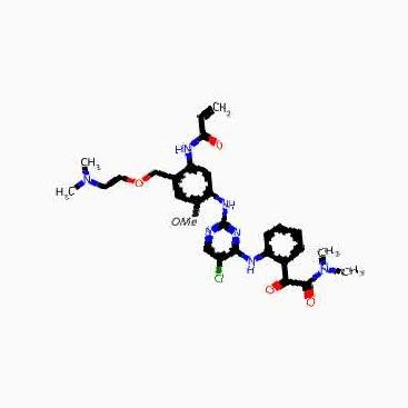 C=CC(=O)Nc1cc(Nc2ncc(Cl)c(Nc3ccccc3C(=O)C(=O)N(C)C)n2)c(OC)cc1COCCN(C)C